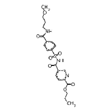 CCCOC(=O)c1ccc(C(=O)NS(=O)(=O)c2ccc(C(=O)NCCCOC)cc2)cn1